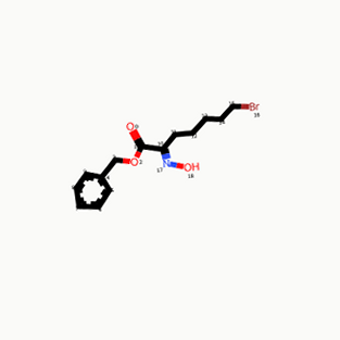 O=C(OCc1ccccc1)C(CCCCCBr)=NO